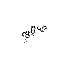 C=CN1CC(c2ncc(N/C(=C(\C=N)C(=O)NC(/C=C(\Cn3nccn3)C(C)C)=C/C)C(C)(F)F)c3ccccc23)C1